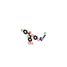 O=C(c1ccc(F)cc1)c1sc2cc(O)ccc2c1Oc1ccc(OC2CN(CCCF)C2)cc1